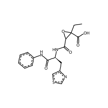 CCC1(C(=O)O)OC1C(=O)N[C@@H](Cc1cscn1)C(=O)Nc1ccccc1